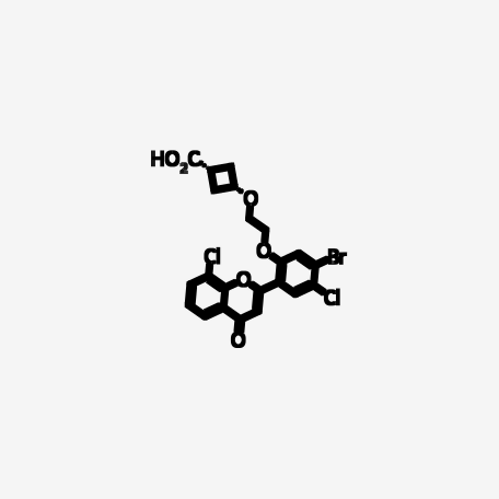 O=c1cc(-c2cc(Cl)c(Br)cc2OCCO[C@H]2C[C@@H](C(=O)O)C2)oc2c(Cl)cccc12